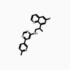 Cc1ccc(-c2cc(NCC(C)c3cc(F)cc4cccnc34)ncn2)cn1